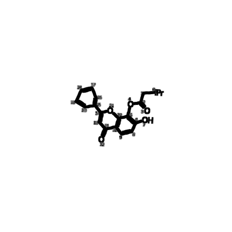 CC(C)CC(=O)Oc1c(O)ccc2c(=O)cc(-c3ccccc3)oc12